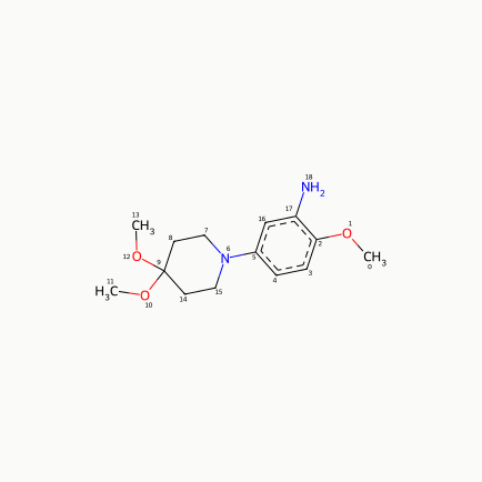 COc1ccc(N2CCC(OC)(OC)CC2)cc1N